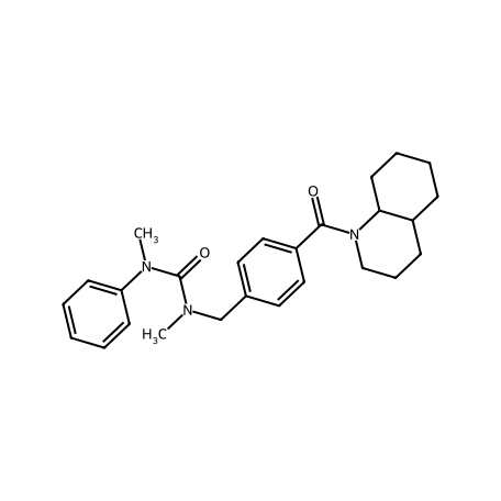 CN(Cc1ccc(C(=O)N2CCCC3CCCCC32)cc1)C(=O)N(C)c1ccccc1